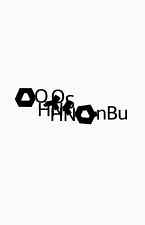 CCCCc1ccc(NC(=S)NC(=O)COc2ccccc2)cc1